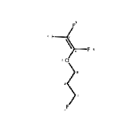 FCCCOC(F)=C(F)F